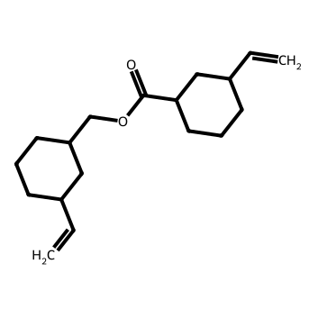 C=CC1CCCC(COC(=O)C2CCCC(C=C)C2)C1